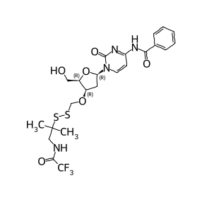 CC(C)(CNC(=O)C(F)(F)F)SSCO[C@@H]1C[C@H](n2ccc(NC(=O)c3ccccc3)nc2=O)O[C@@H]1CO